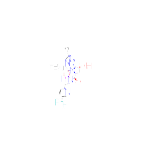 CC(C)(C)[C@@H](C(=O)N1CC(O)CC1C(=O)NCCc1ccc(C(F)F)cn1)n1cc(C2CC2)nn1